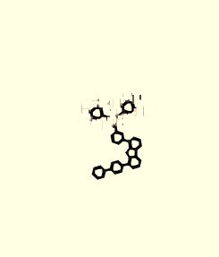 [2H]c1c([2H])c([2H])c(-c2nc(-c3cccc(-c4cccc5c4Cc4c(-c6ccc(-c7ccccc7)cc6)cccc4-5)c3)nc(-c3c([2H])c([2H])c([2H])c(C)c3[2H])n2)c([2H])c1[2H]